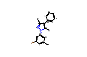 Cc1cc(Br)cc(-n2nc(C)c(-c3ccccc3)c2C)c1